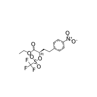 CCOC(=O)[C@@H](CCc1ccc([N+](=O)[O-])cc1)OS(=O)(=O)C(F)(F)F